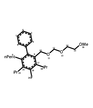 CCCCCc1c(-c2ccccc2)c(COCOCCOC)c(C(C)C)c(F)c1C(C)C